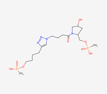 CP(=O)(O)OCCCCc1cn(CCCC(=O)N2CC(O)CC2COP(C)(=O)O)nn1